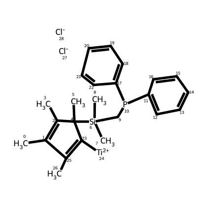 CC1=C(C)C(C)([Si](C)(C)CP(c2ccccc2)c2ccccc2)[C]([Ti+2])=C1C.[Cl-].[Cl-]